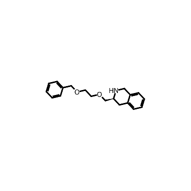 c1ccc(COCCOC[C@@H]2Cc3ccccc3CN2)cc1